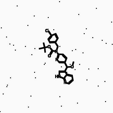 COC(c1ccc(N(Cc2ccc(Cl)cc2)C(=O)OC(C)(C)C)nc1)c1c[nH]c2ncccc12